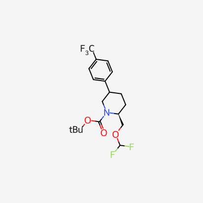 CC(C)(C)OC(=O)N1CC(c2ccc(C(F)(F)F)cc2)CC[C@H]1COC(F)F